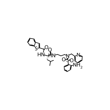 CC(C)C[C@H](NC(=O)c1cc2ccccc2s1)C(=O)NCCCN(Cc1ccccn1)S(=O)(=O)c1ccccc1N